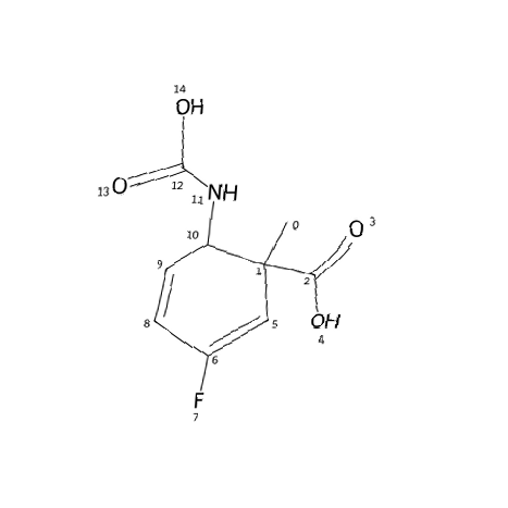 CC1(C(=O)O)C=C(F)C=CC1NC(=O)O